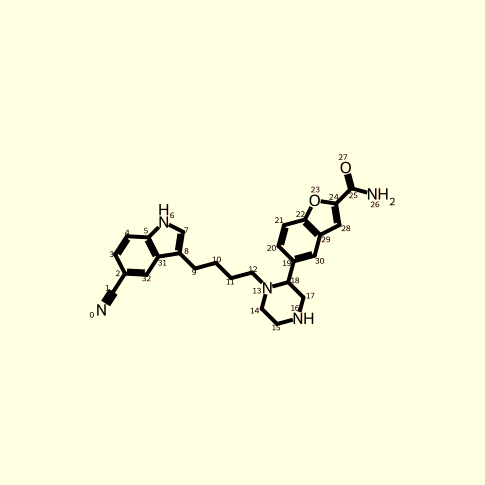 N#Cc1ccc2[nH]cc(CCCCN3CCNCC3c3ccc4oc(C(N)=O)cc4c3)c2c1